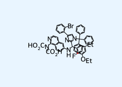 CCOc1cc(CC)cc(C(Nc2ccc3c(N(C(=O)O)C(=O)O)nccc3c2)c2nc(-c3ccccc3Br)cn2C(c2ccccc2)(c2ccccc2)c2ccccc2)c1F